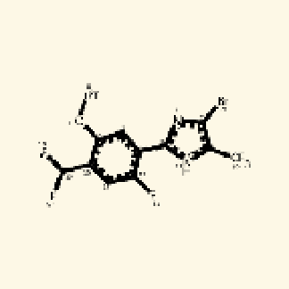 CC(C)Oc1cc(-c2nc(Br)c(C(F)(F)F)[nH]2)c(F)cc1C(F)F